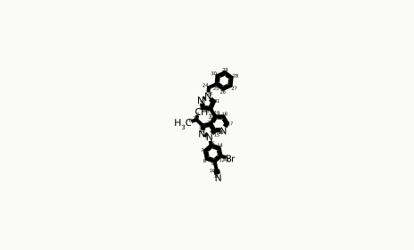 CC(C)c1nn(-c2ccc(C#N)c(Br)c2)c2nccc(-c3cnn(Cc4ccccc4)c3)c12